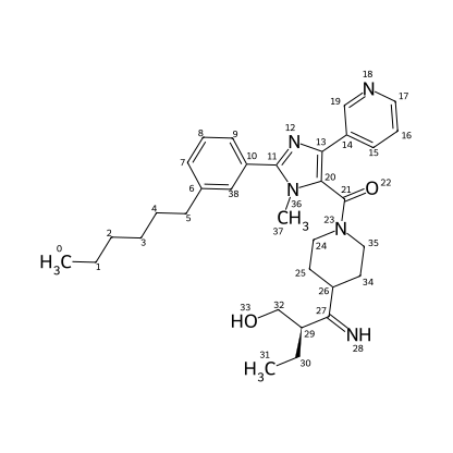 CCCCCCc1cccc(-c2nc(-c3cccnc3)c(C(=O)N3CCC(C(=N)[C@@H](CC)CO)CC3)n2C)c1